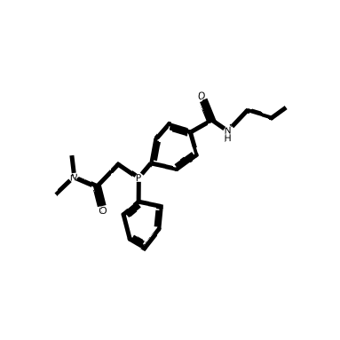 CCCNC(=O)c1ccc(P(CC(=O)N(C)C)c2ccccc2)cc1